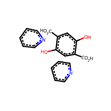 O=C(O)c1cc(O)c(C(=O)O)cc1O.c1ccncc1.c1ccncc1